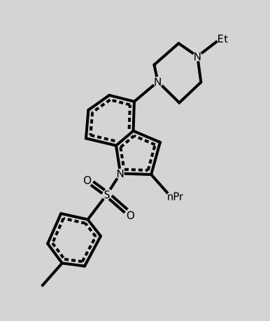 CCCc1cc2c(N3CCN(CC)CC3)cccc2n1S(=O)(=O)c1ccc(C)cc1